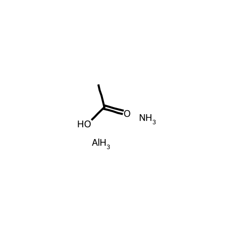 CC(=O)O.N.[AlH3]